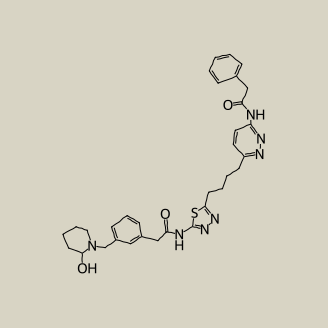 O=C(Cc1ccccc1)Nc1ccc(CCCCc2nnc(NC(=O)Cc3cccc(CN4CCCCC4O)c3)s2)nn1